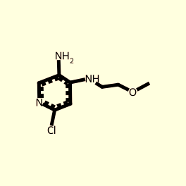 COCCNc1cc(Cl)ncc1N